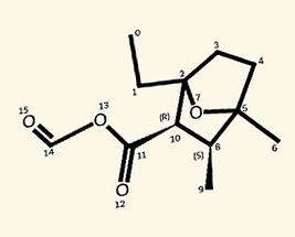 CCC12CCC(C)(O1)[C@@H](C)[C@H]2C(=O)OC=O